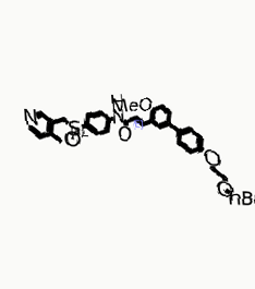 CCCCOCCOc1ccc(-c2ccc(OC)c(/C=C/C(=O)Nc3ccc([S@@+]([O-])Cc4cnccc4C)cc3)c2)cc1